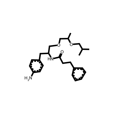 CC(C)COC(C)COCC(Cc1ccc(N)cc1)NC(=O)CCc1ccccc1